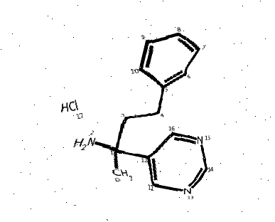 CC(N)(CCc1ccccc1)c1cncnc1.Cl